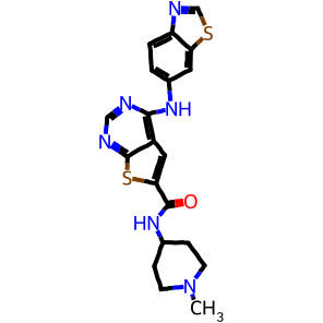 CN1CCC(NC(=O)c2cc3c(Nc4ccc5ncsc5c4)ncnc3s2)CC1